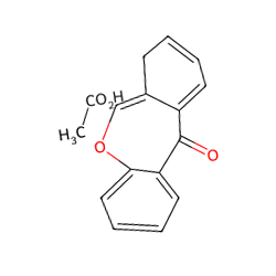 CC(=O)O.O=C1C2=CC=CCC2=COc2ccccc21